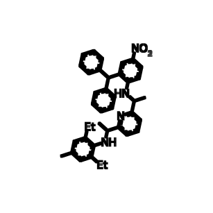 CCc1cc(C)cc(CC)c1NC(C)c1cccc(C(C)Nc2ccc([N+](=O)[O-])cc2C(c2ccccc2)c2ccccc2)n1